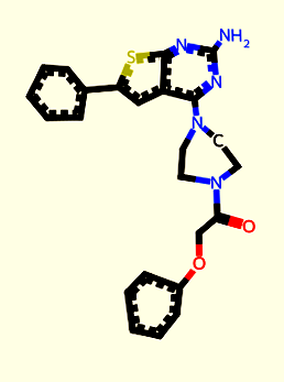 Nc1nc(N2CCN(C(=O)COc3ccccc3)CC2)c2cc(-c3ccccc3)sc2n1